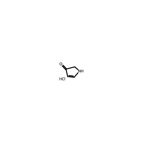 Cl.O=C1C=CNC1